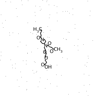 CCCCC(=O)N1CCC(N(CCOCCOCCC(=O)O)C(=O)CCC(C)=O)CC1